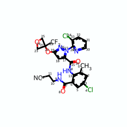 Cc1cc(Cl)cc(C(=O)NCCC#N)c1NC(=O)c1cc(OC2(C(F)(F)F)COC2)nn1-c1ncccc1Cl